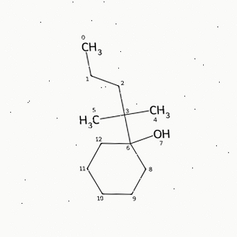 CCCC(C)(C)C1(O)CCCCC1